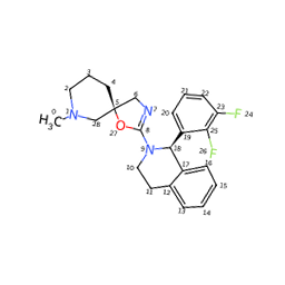 CN1CCC[C@]2(CN=C(N3CCc4ccccc4[C@@H]3c3cccc(F)c3F)O2)C1